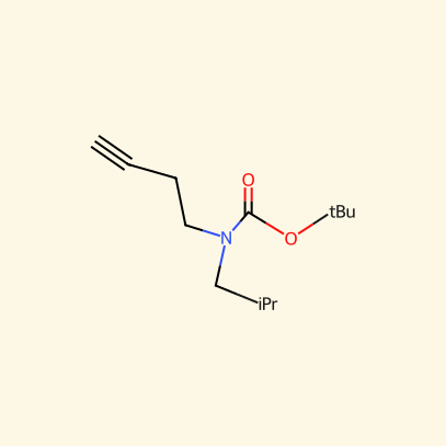 C#CCCN(CC(C)C)C(=O)OC(C)(C)C